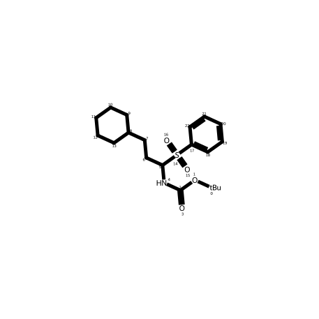 CC(C)(C)OC(=O)NC(CCC1CCCCC1)S(=O)(=O)c1ccccc1